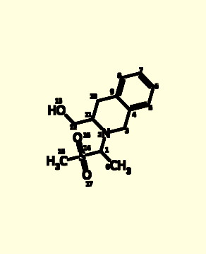 CC(N1Cc2ccccc2CC1CO)S(C)(=O)=O